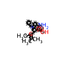 CCC[Si](CCC)(CCC)OCc1cc(OCC(=O)O)c2c3c(C(N)=O)cccc3n(Cc3ccccc3)c2c1